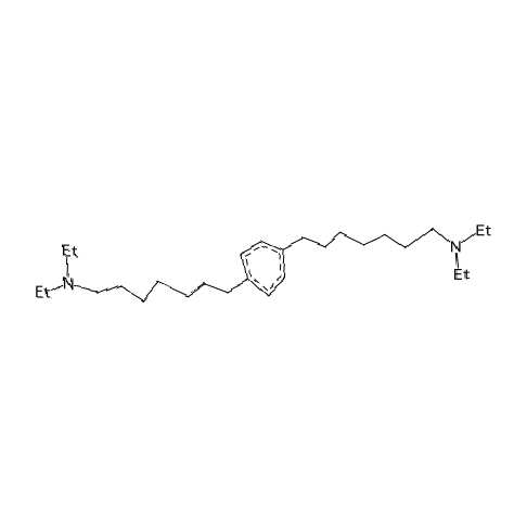 CCN(CC)CCCCCCCc1ccc(CCCCCCCN(CC)CC)cc1